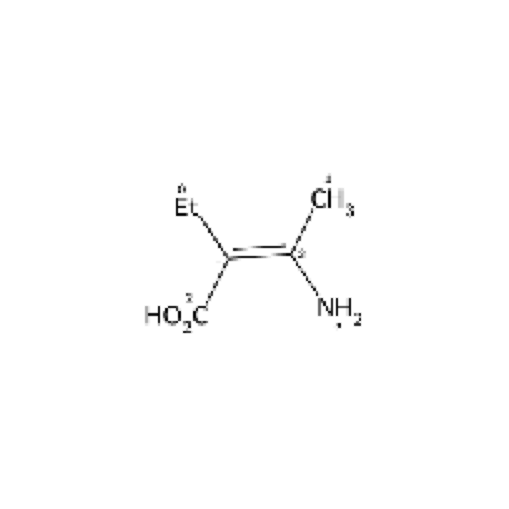 CC/C(C(=O)O)=C(\C)N